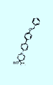 OC1(C(F)(F)F)CCN(c2ccc(-c3ccc(OCc4ccccc4)cc3)cc2)CC1